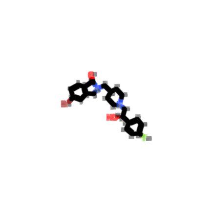 O=C1c2ccc(Br)cc2CN1CC1CCN(C[C@H](O)c2ccc(F)cc2)CC1